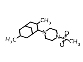 CC1CC2CC(C)C(N3CCN(S(C)(=O)=O)CC3)C(C1)C2